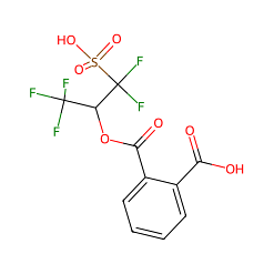 O=C(O)c1ccccc1C(=O)OC(C(F)(F)F)C(F)(F)S(=O)(=O)O